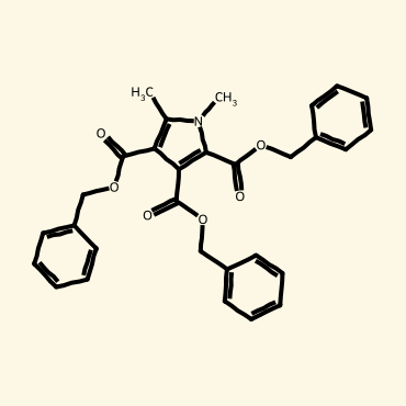 Cc1c(C(=O)OCc2ccccc2)c(C(=O)OCc2ccccc2)c(C(=O)OCc2ccccc2)n1C